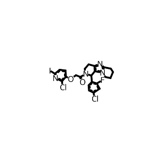 O=C(COc1ccc(I)nc1Cl)N1CCc2nc3n(c2C1c1ccc(Cl)cc1F)CCCC3